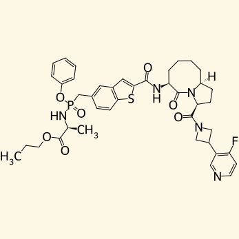 CCCOC(=O)[C@H](C)NP(=O)(Cc1ccc2sc(C(=O)N[C@H]3CCCC[C@H]4CC[C@@H](C(=O)N5CC(c6cnccc6F)C5)N4C3=O)cc2c1)Oc1ccccc1